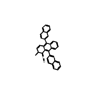 CC1C=Cc2c(c(-c3ccc4ccccc4c3)c3ccccc3c2-c2ccc3ccccc3c2)C1=C=O